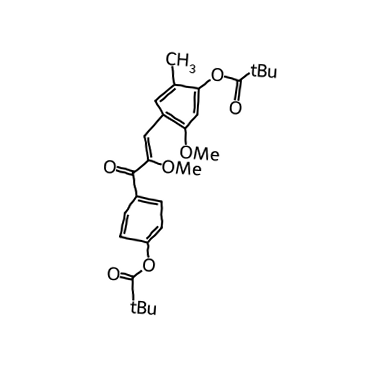 COC(=Cc1cc(C)c(OC(=O)C(C)(C)C)cc1OC)C(=O)c1ccc(OC(=O)C(C)(C)C)cc1